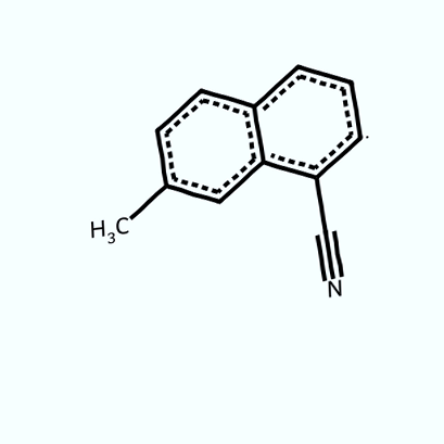 Cc1ccc2cc[c]c(C#N)c2c1